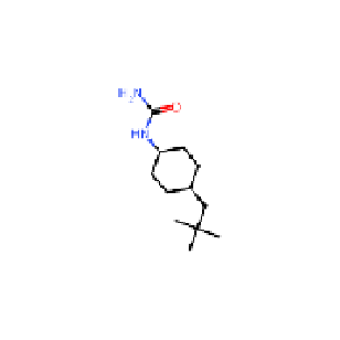 CC(C)(C)C[C@H]1CC[C@@H](NC(N)=O)CC1